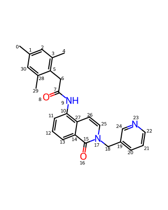 Cc1cc(C)c(CC(=O)Nc2cccc3c(=O)n(Cc4cccnc4)ccc23)c(C)c1